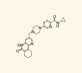 O=C(NC1CC1)c1ccc(N2CCN(Cc3cnc4c5c(c(=O)[nH]c4c3)CCCC5)CC2)cn1